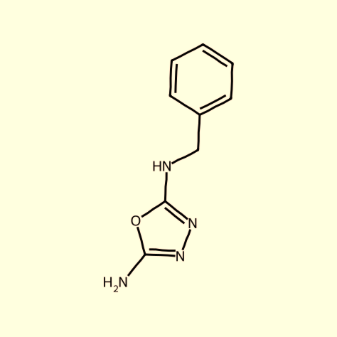 Nc1nnc(NCc2ccccc2)o1